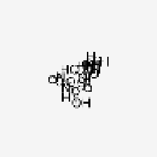 COc1c(CN2O[C@@H](CO)[C@H]([C@H](C)O)[C@H]2C(=O)N[C@H]2C[C@H]3C[C@@H]([C@@H]2C)C3(C)C)cccc1-c1cc(C(=O)N[C@@H](Cc2ccccc2)CN(C)C)cc(C(C)O)c1